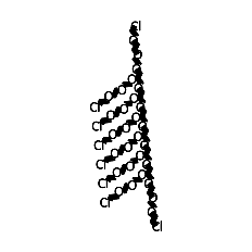 ClCCOCCOCCOCC(COCC(COCC(COCC(COCC(COCC(COCCOCCOCCCl)OCCOCCOCCCl)OCCOCCOCCCl)OCCOCCOCCCl)OCCOCCOCCCl)OCCOCCOCCCl)OCCOCCOCCCl